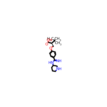 CC(C)(C)[C@@H](COc1ccc(C(=N)NC2CCCNC2)cc1)C(=O)O